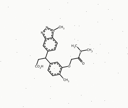 Cc1ccc(C(CC(=O)O)c2ccc3c(c2)nnn3C)cc1OCC(=O)N(C)C